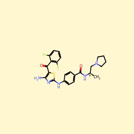 C[C@H](CN1CCCC1)NC(=O)c1ccc(Nc2nc(N)c(C(=O)c3c(F)cccc3F)s2)cc1